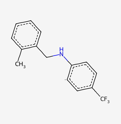 Cc1ccccc1CNc1[c]cc(C(F)(F)F)cc1